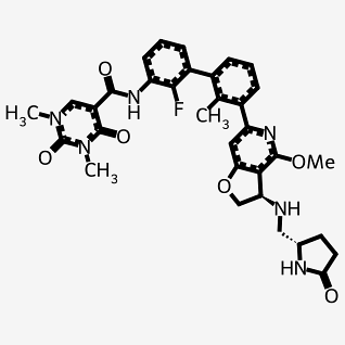 COc1nc(-c2cccc(-c3cccc(NC(=O)c4cn(C)c(=O)n(C)c4=O)c3F)c2C)cc2c1[C@@H](NC[C@@H]1CCC(=O)N1)CO2